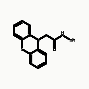 CCCNC(=O)CN1c2ccccc2Sc2ccccc21